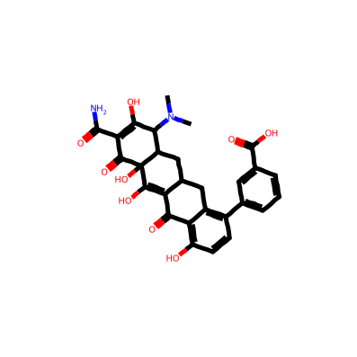 CN(C)C1C(O)=C(C(N)=O)C(=O)C2(O)C(O)=C3C(=O)c4c(O)ccc(-c5cccc(C(=O)O)c5)c4CC3CC12